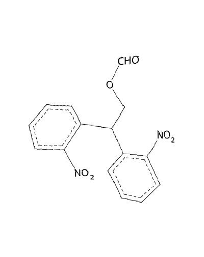 O=COCC(c1ccccc1[N+](=O)[O-])c1ccccc1[N+](=O)[O-]